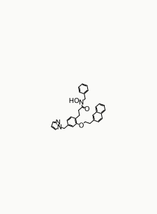 O=C(CCc1ccc(Cn2cccn2)cc1OCCc1ccc2ccccc2c1)N(O)Cc1ccccc1